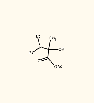 CCN(CC)C(C)(O)C(=O)OC(C)=O